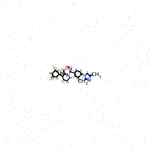 Cc1cn(-c2ccc(C3=NOC[C@H]4C(c5cc(F)cc(F)c5)CCCN34)cc2C)cn1